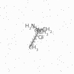 C=CC[N+](C)(CCCCN)C(=O)CCCCCCCCCCC.[Cl-]